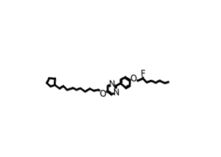 CCCCCCC(F)COc1ccc(-c2ncc(OCCCCCCCCCCC3CCCC3)cn2)cc1